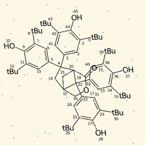 CC(C)(C)c1cc(C2(c3cc(C(C)(C)C)c(O)c(C(C)(C)C)c3)CC34COC(=O)C2(C3)C4(c2cc(C(C)(C)C)c(O)c(C(C)(C)C)c2)c2cc(C(C)(C)C)c(O)c(C(C)(C)C)c2)cc(C(C)(C)C)c1O